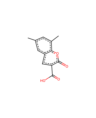 Cc1cc(C)c2oc(=O)c(C(=O)O)cc2c1